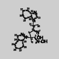 CC(C=NO)(CC(=NO)C(C)(C)n1cnc2ccccc21)n1ncc2ccccc21